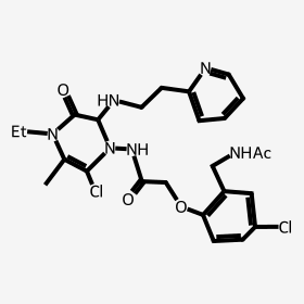 CCN1C(=O)C(NCCc2ccccn2)N(NC(=O)COc2ccc(Cl)cc2CNC(C)=O)C(Cl)=C1C